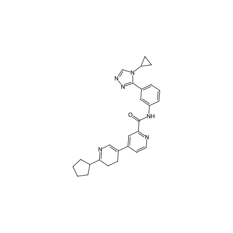 O=C(Nc1cccc(-c2nncn2C2CC2)c1)c1cc(C2=CN=C(C3CCCC3)CC2)ccn1